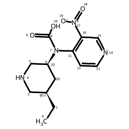 CC[C@H]1CNC[C@@H](N(C(=O)O)c2ccncc2[N+](=O)[O-])C1